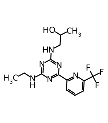 CCNc1nc(NCC(C)O)nc(-c2cccc(C(F)(F)F)n2)n1